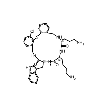 CN1C(=O)[C@H](CCCCN)NC(=O)[C@H](CCCN)NCc2cccnc2Sc2c(Cl)cncc2CNC(=O)[C@@H]1Cc1c[nH]c2ccccc12